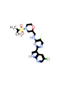 CC(C)S(=O)(=O)N1CCOC(CNc2nc(-c3c[nH]c4ncc(Cl)cc34)ncc2F)C1